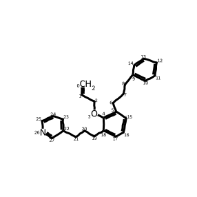 C=CCOc1c(CCCc2ccccc2)[c]ccc1CCCc1cccnc1